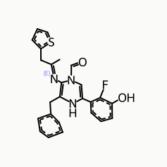 C/C(Cc1cccs1)=N\C1=C(Cc2ccccc2)NC(c2cccc(O)c2F)=CN1C=O